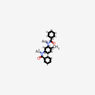 CC(=O)N(C(=O)c1ccccc1)c1ccc(C)c(N(C(C)=O)C(=O)c2ccccc2)c1